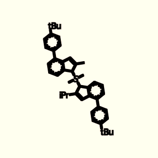 CC1=Cc2c(-c3ccc(C(C)(C)C)cc3)cccc2C1S(C)(C)C1C(C(C)C)=Cc2c(-c3ccc(C(C)(C)C)cc3)cccc21